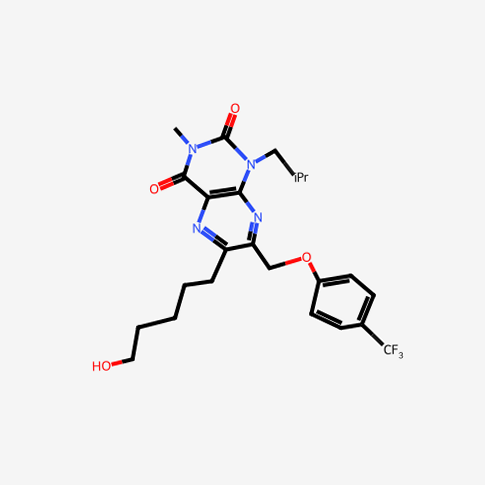 CC(C)Cn1c(=O)n(C)c(=O)c2nc(CCCCCO)c(COc3ccc(C(F)(F)F)cc3)nc21